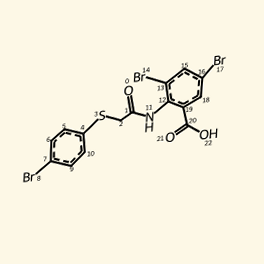 O=C(CSc1ccc(Br)cc1)Nc1c(Br)cc(Br)cc1C(=O)O